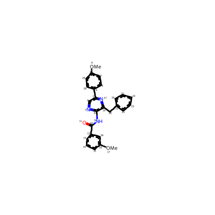 COc1ccc(-c2cnc(NC(=O)c3cccc(OC)c3)c(Cc3ccccc3)n2)cc1